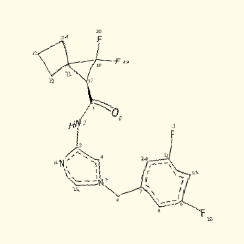 O=C(Nc1cn(Cc2cc(F)cc(F)c2)cn1)[C@@H]1C(F)(F)C12CCC2